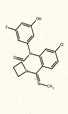 C/N=C(\c1ccc(Cl)cc1N(C=O)c1cc(O)cc(F)c1)N1CCC1